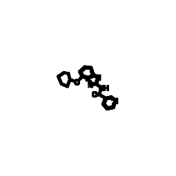 O=C(Nc1nc2cccc(OC3CCCCC3)n2n1)c1cccnc1